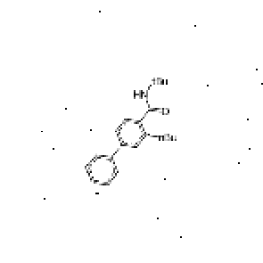 CCCCc1cc(-c2ccccc2)ccc1C(=O)NC(C)(C)C